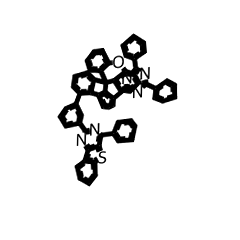 c1ccc(-c2nc(-c3ccccc3)nc(-c3cccc4c3C3(c5ccccc5Oc5ccccc53)c3cccc(-c5cccc(-c6nc(-c7ccccc7)c7sc8ccccc8c7n6)c5)c3-4)n2)cc1